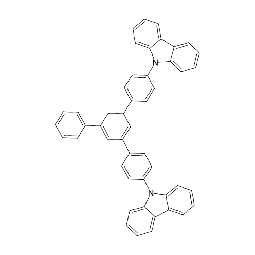 C1=C(c2ccc(-n3c4ccccc4c4ccccc43)cc2)C=C(c2ccccc2)CC1c1ccc(-n2c3ccccc3c3ccccc32)cc1